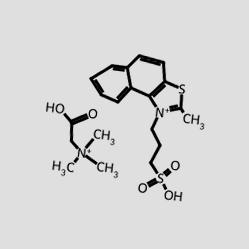 C[N+](C)(C)CC(=O)O.Cc1sc2ccc3ccccc3c2[n+]1CCCS(=O)(=O)O